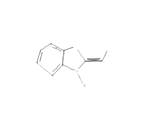 CC(C)N1/C(=C/C=O)Sc2ccccc21